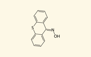 ON=c1c2ccccc2sc2ccccc12